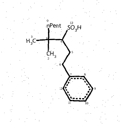 CCCCCC(C)(C)C(CCc1ccccc1)S(=O)(=O)O